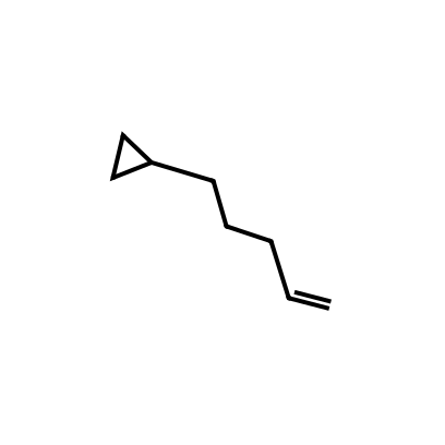 C=CCCCC1CC1